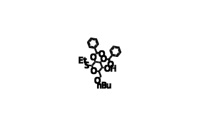 CCCCOCC1OC(SCC)C(OC(=O)c2ccccc2)C(OC(=O)c2ccccc2)C1O